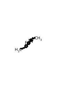 CCCCCC1CCC(c2ccc(-c3ncc(CCCC)cn3)cc2F)CC1